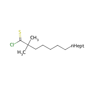 CCCCCCCCCCCCC(C)(C)C(=S)Cl